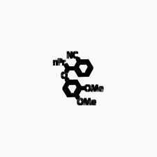 CCCC(Oc1ccc(OC)c(OC)c1)c1ccccc1C#N